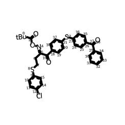 CC(C)(C)C(=O)O/N=C(\CCSc1ccc(Cl)cc1)C(=O)c1ccc(Sc2ccc(C(=O)c3ccccc3)cc2)cc1